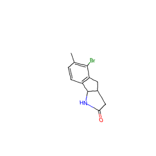 Cc1ccc2c(c1Br)CC1CC(=O)NC21